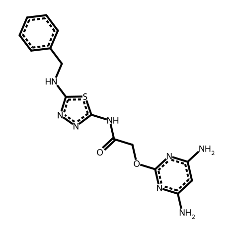 Nc1cc(N)nc(OCC(=O)Nc2nnc(NCc3ccccc3)s2)n1